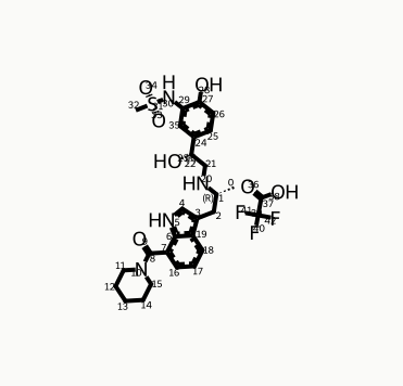 C[C@H](Cc1c[nH]c2c(C(=O)N3CCCCC3)cccc12)NC[C@H](O)c1ccc(O)c(NS(C)(=O)=O)c1.O=C(O)C(F)(F)F